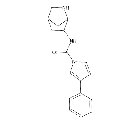 O=C(NC1CC2CNC1C2)n1ccc(-c2ccccc2)c1